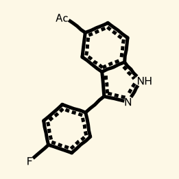 CC(=O)c1ccc2[nH]nc(-c3ccc(F)cc3)c2c1